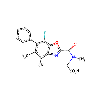 Cc1c(-c2ccccc2)c(F)c2oc(C(=O)N(C)CC(=O)O)nc2c1C#N